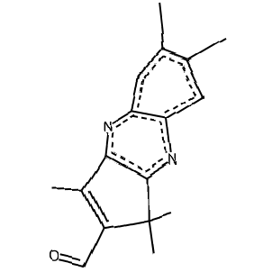 CC1=C(C=O)C(C)(C)c2nc3cc(C)c(C)cc3nc21